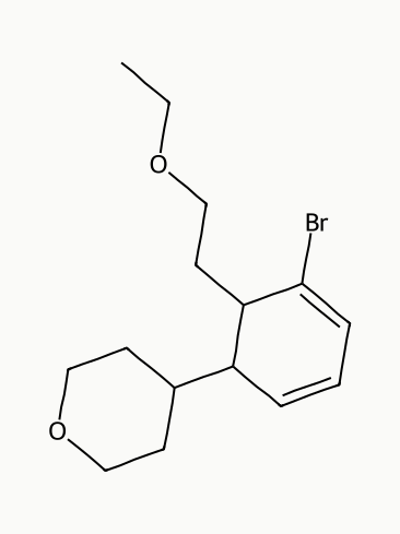 CCOCCC1C(Br)=CC=CC1C1CCOCC1